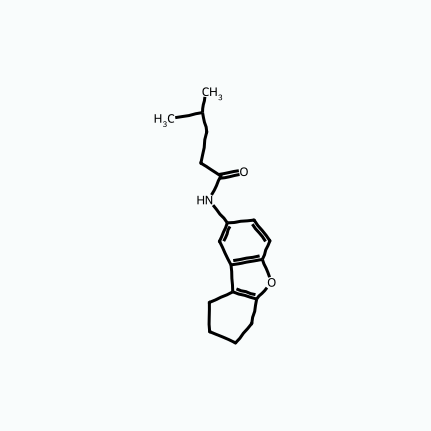 CC(C)CCC(=O)Nc1ccc2oc3c(c2c1)CCCC3